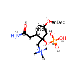 CCCCCCCCCCOC(C)CC(C[N+](C)(C)C)(OP(=O)([O-])O)C(CCCCCCCCC)CC(N)=O